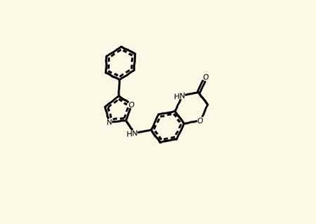 O=C1COc2ccc(Nc3ncc(-c4ccccc4)o3)cc2N1